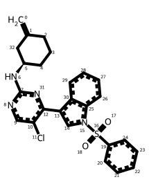 C=C1CCC[C@@H](Nc2ncc(Cl)c(-c3cn(S(=O)(=O)c4ccccc4)c4ccccc34)n2)C1